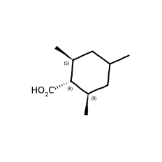 CC1C[C@@H](C)[C@H](C(=O)O)[C@@H](C)C1